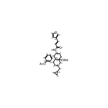 CO[C@]12CC[C@@H](NC(=O)C=Cc3ccoc3)C[C@]1(c1cccc(OC(C)=O)c1)CCN(CC1CC1)C2